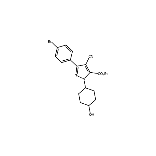 CCOC(=O)c1c(C#N)c(-c2ccc(Br)cc2)nn1C1CCC(O)CC1